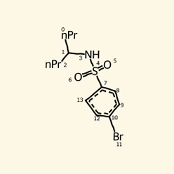 CCCC(CCC)NS(=O)(=O)c1ccc(Br)cc1